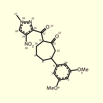 COc1cc(OC)cc(C2CCCC(C(=O)c3nn(C)cc3[N+](=O)[O-])C(=O)C2)c1